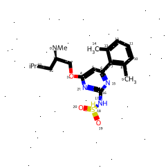 CN[C@@H](COc1cc(-c2c(C)cccc2C)nc(N[SH](=O)=O)n1)CC(C)C